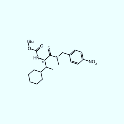 CC(C1CCCCC1)[C@@H](NC(=O)OC(C)(C)C)C(=S)N(C)Cc1ccc([N+](=O)[O-])cc1